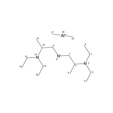 CCN(CC)C(C)C[N-]CC(C)N(CC)CC.[CH3][Al+][CH3]